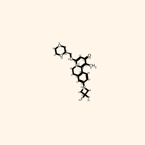 Cc1c2n(c(OC[C@@H]3COCCO3)cc1=O)CCc1cc(N3CC(F)(F)C3)ccc1-2